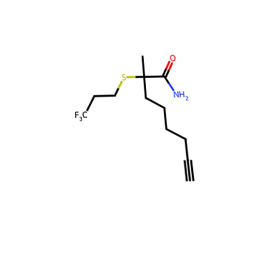 C#CCCCCC(C)(SCCC(F)(F)F)C(N)=O